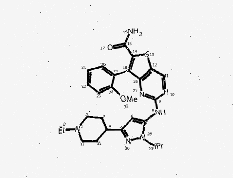 CCN1CCC(c2cc(Nc3ncc4sc(C(N)=O)c(-c5ccccc5OC)c4n3)n(C(C)C)n2)CC1